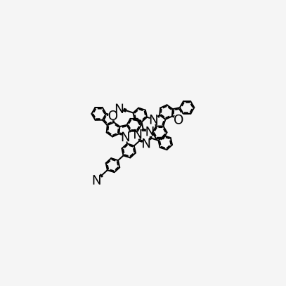 N#Cc1ccc(-c2ccc(-c3nc(-c4ccccc4)nc(-c4cc(C#N)ccc4-n4c5ccccc5c5c6oc7ccccc7c6ccc54)n3)c(-n3c4ccccc4c4c5oc6ccccc6c5ccc43)c2)cc1